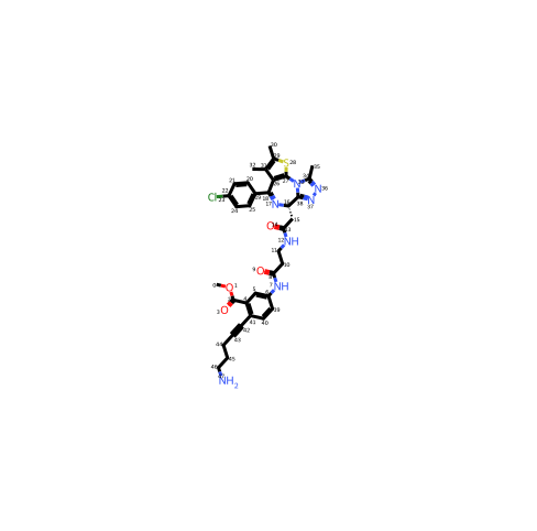 COC(=O)c1cc(NC(=O)CCNC(=O)C[C@@H]2N=C(c3ccc(Cl)cc3)c3c(sc(C)c3C)-n3c(C)nnc32)ccc1C#CCCCN